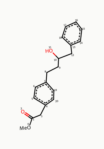 COC(=O)Cc1ccc(CCC(O)Cc2ccccc2)cc1